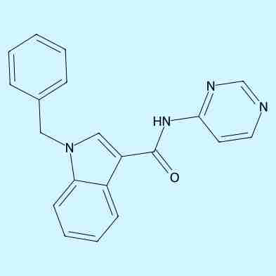 O=C(Nc1ccncn1)c1cn(Cc2ccccc2)c2ccccc12